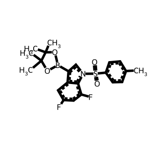 Cc1ccc(S(=O)(=O)n2cc(B3OC(C)(C)C(C)(C)O3)c3cc(F)cc(F)c32)cc1